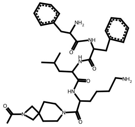 CC(=O)N1CC2(CCN(C(=O)C(CCCCN)NC(=O)C(CC(C)C)NC(=O)C(Cc3ccccc3)NC(=O)C(N)Cc3ccccc3)CC2)C1